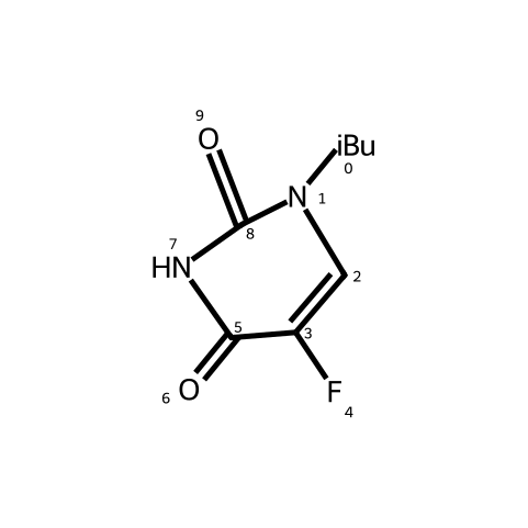 CCC(C)n1cc(F)c(=O)[nH]c1=O